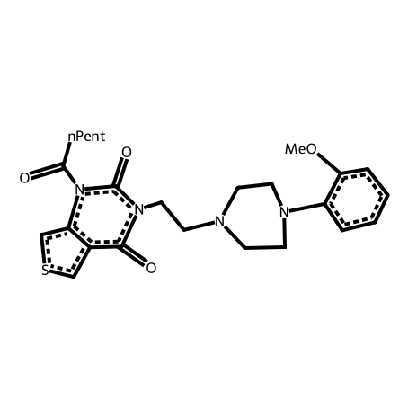 CCCCCC(=O)n1c(=O)n(CCN2CCN(c3ccccc3OC)CC2)c(=O)c2cscc21